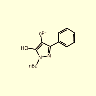 CCCCn1nc(-c2ccccc2)c(CCC)c1O